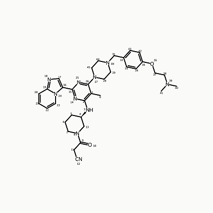 Cc1c(N[C@@H]2CCCN(C(=O)CC#N)C2)nc(-c2cnc3ccccn23)nc1N1CCN(Cc2ccc(OCCN(C)C)cc2)CC1